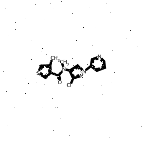 Cc1cscc1C(=O)N(C)c1cn(-c2cccnc2)nc1Cl